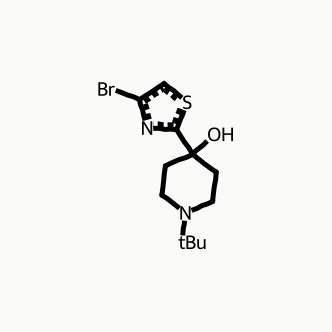 CC(C)(C)N1CCC(O)(c2nc(Br)cs2)CC1